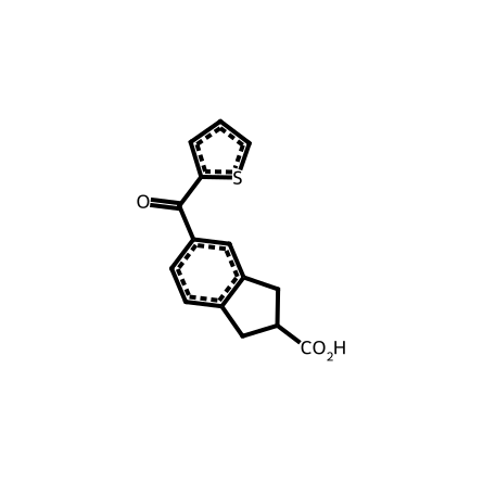 O=C(c1ccc2c(c1)CC(C(=O)O)C2)c1cccs1